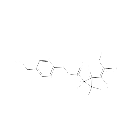 COCc1ccc(COC(=O)C2(F)C(C)(C)C2(F)C(F)=C(C#N)CF)cc1